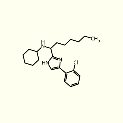 CCCCCCC(NC1CCCCC1)c1nc(-c2ccccc2Cl)c[nH]1